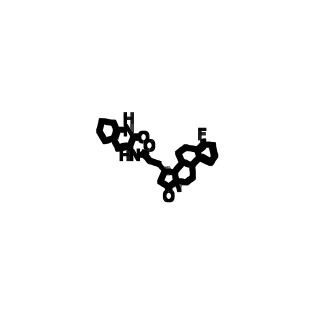 C[C@]12CCC3c4cccc(F)c4CCC3C1[C@H](CCC(=O)Nc1cc3c([nH]c1=O)CCCC3)CC2=O